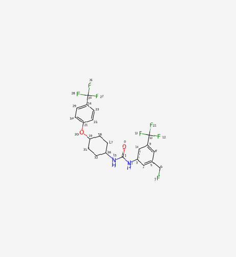 O=C(Nc1cc(CF)cc(C(F)(F)F)c1)NC1CCC(Oc2ccc(C(F)(F)F)cc2)CC1